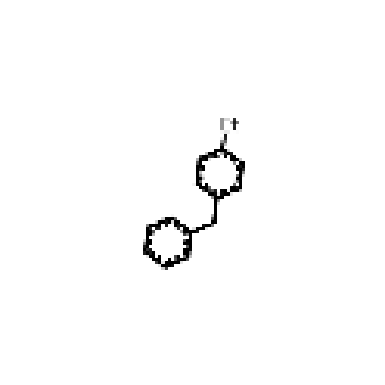 CCc1ccc(Cc2c[c]ccc2)cc1